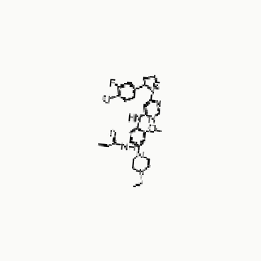 C=CC(=O)Nc1cc(Nc2cc(N3OCCC3c3ccc(Cl)c(F)c3)ncn2)c(OC)cc1N1CCN(CC)CC1